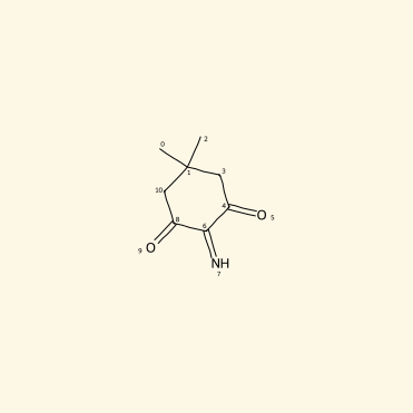 CC1(C)CC(=O)C(=N)C(=O)C1